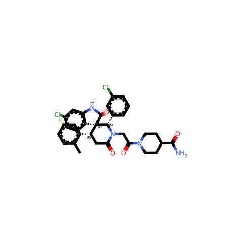 Cc1ccc(F)cc1[C@H]1CC(=O)N(CC(=O)N2CCC(C(N)=O)CC2)[C@@H](c2cccc(Cl)c2)[C@]12C(=O)Nc1cc(Cl)ccc12